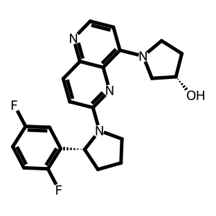 O[C@H]1CCN(c2ccnc3ccc(N4CCC[C@@H]4c4cc(F)ccc4F)nc23)C1